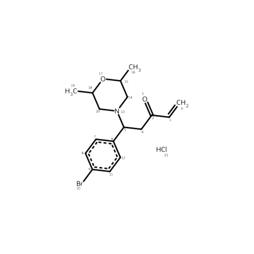 C=CC(=O)CC(c1ccc(Br)cc1)N1CC(C)OC(C)C1.Cl